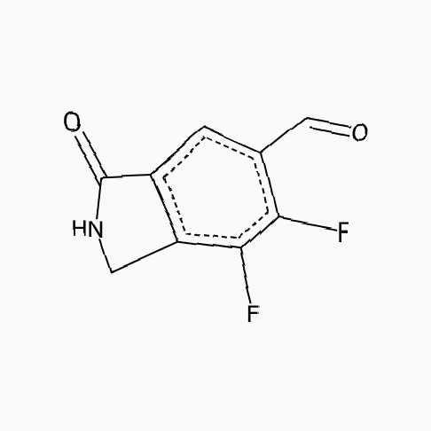 O=Cc1cc2c(c(F)c1F)CNC2=O